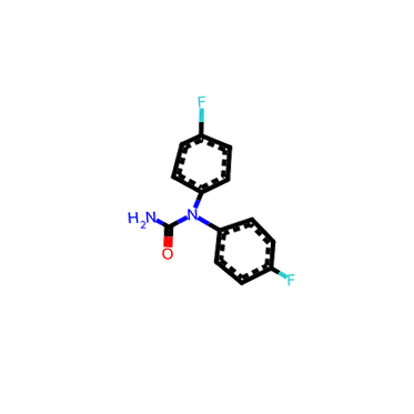 NC(=O)N(c1ccc(F)cc1)c1ccc(F)cc1